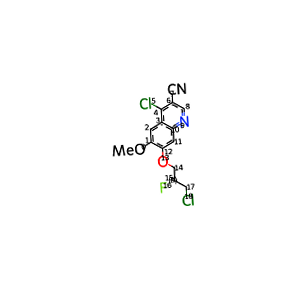 COc1cc2c(Cl)c(C#N)cnc2cc1OC[C@@H](F)CCl